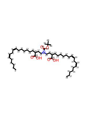 CCCCC/C=C\C/C=C\CCCCCCC(CCN(CCC(CCCCCC/C=C\C/C=C\CCCCC)C(=O)O)C(=O)OC(C)(C)C)C(=O)O